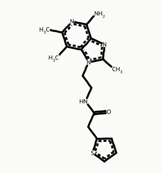 Cc1nc(N)c2nc(C)n(CCNC(=O)Cc3cccs3)c2c1C